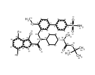 COc1ccc(-c2ccc(S(N)(=O)=O)cc2)cc1CN(C(=O)c1sc2c(F)ccc(F)c2c1Cl)[C@H]1CC[C@H](N(C)C(=O)OC(C)(C)C)CC1